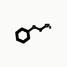 FC(F)(F)SOc1ccccc1